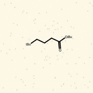 CC(C)COC(=O)CCCC(C)(C)C